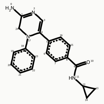 NC1=NC=C(c2ccc(C(=O)NC3CC3)cc2)N(c2ccccc2)C1